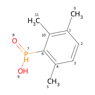 Cc1ccc(C)c([PH](=O)O)c1C